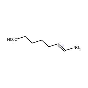 O=C(O)CCCC/C=C/[N+](=O)[O-]